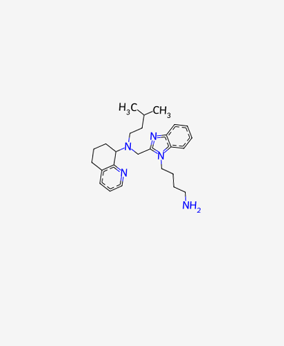 CC(C)CCN(Cc1nc2ccccc2n1CCCCN)C1CCCc2cccnc21